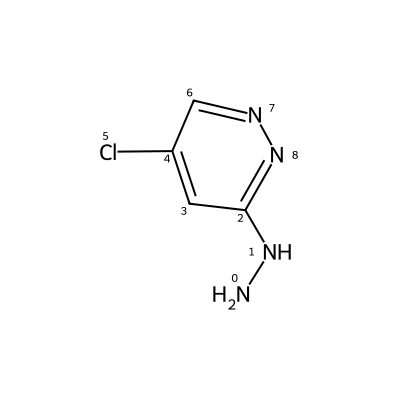 NNc1cc(Cl)cnn1